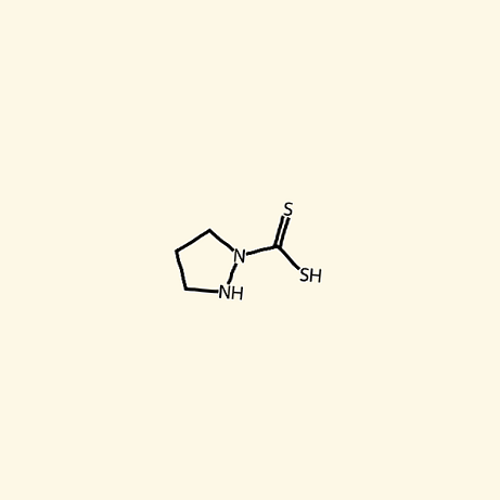 S=C(S)N1CCCN1